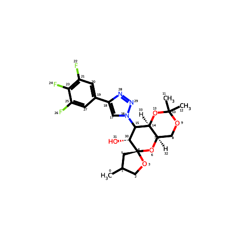 CC1CO[C@@]2(C1)O[C@@H]1COC(C)(C)O[C@@H]1C(n1cc(-c3cc(F)c(F)c(F)c3)nn1)[C@H]2O